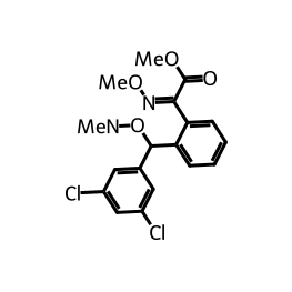 CNOC(c1cc(Cl)cc(Cl)c1)c1ccccc1C(=NOC)C(=O)OC